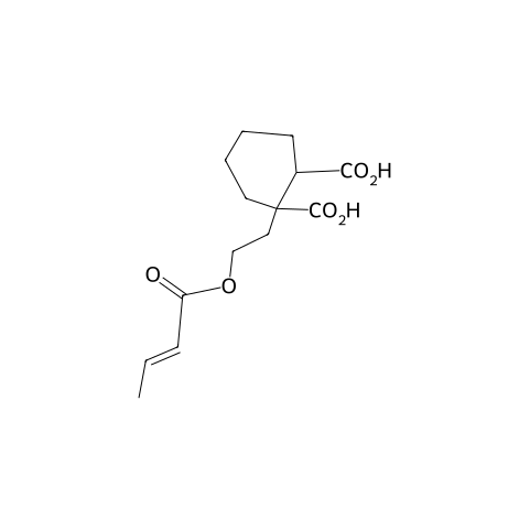 CC=CC(=O)OCCC1(C(=O)O)CCCCC1C(=O)O